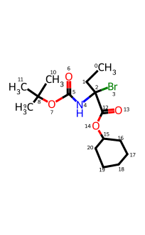 CCC(Br)(NC(=O)OC(C)(C)C)C(=O)OC1CCCCC1